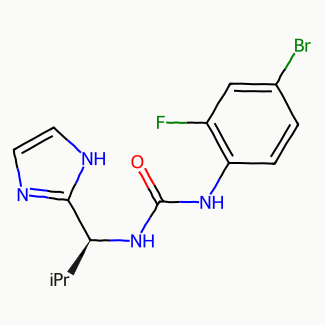 CC(C)[C@H](NC(=O)Nc1ccc(Br)cc1F)c1ncc[nH]1